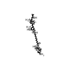 C=C1/C(=C\C=C2/CCC[C@@]3(C)C2CCC3[C@@H](C)CCC(O)C2CC2)CC(OC(=O)NCCCCCCCCCC(=O)OC[C@H]2OC(n3ccc(N)nc3=O)C(F)(F)C2O)C[C@@H]1O